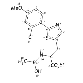 CCOC(=O)C(Cc1cnc(-c2ccc(OC)cc2Cl)s1)NB(C)O